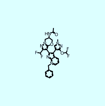 CC(=O)NC1COc2c(-c3nc4n(Cc5ccccc5)cccc-4c3-c3cn(C)nc3OC(F)F)c(C(F)F)nn2C1